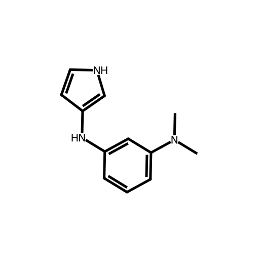 CN(C)c1cccc(Nc2cc[nH]c2)c1